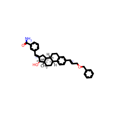 C[C@]12CC[C@@H]3c4ccc(/C=C/COCc5ccccc5)cc4CC[C@H]3[C@@H]1C/C(=C\c1cccc(C(N)=O)c1)[C@@H]2O